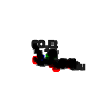 CCOC(=O)CCCCCCN1C(=O)CCC1C=CC(OCC(=O)c1ccc(CO[Si](C)(C)C(C)(C)C)cc1)C(F)(F)c1ccccc1